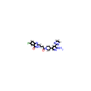 Nc1ncc(C2CCN(C(=O)CCCc3nc4ccc(F)cc4c(=O)[nH]3)CC2)cc1-c1ncccn1